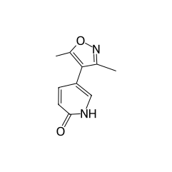 Cc1noc(C)c1-c1ccc(=O)[nH]c1